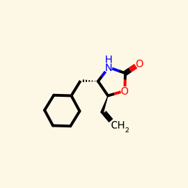 C=C[C@@H]1OC(=O)N[C@H]1CC1CCCCC1